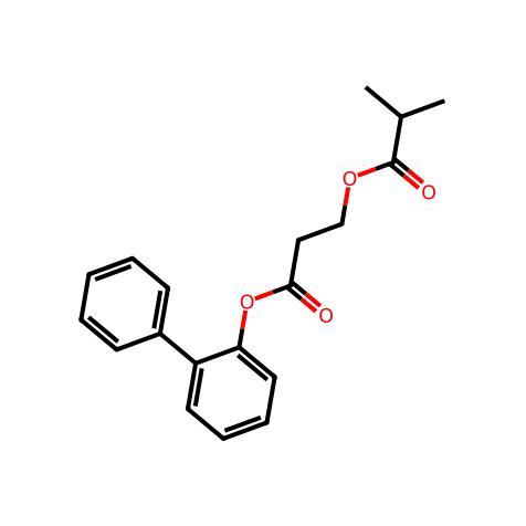 CC(C)C(=O)OCCC(=O)Oc1ccccc1-c1ccccc1